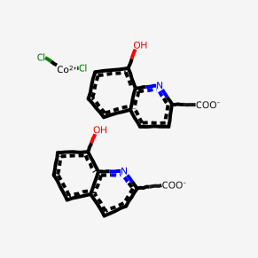 O=C([O-])c1ccc2cccc(O)c2n1.O=C([O-])c1ccc2cccc(O)c2n1.[Cl][Co+2][Cl]